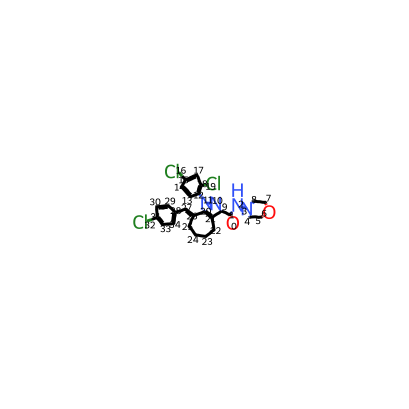 O=C(NN1CCOCC1)c1nn(-c2ccc(Cl)cc2Cl)c2c1CCCCC2=Cc1ccc(Cl)cc1